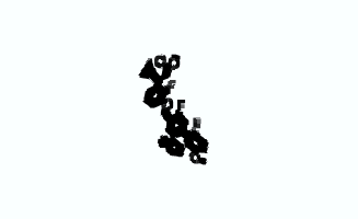 COC(=O)C[C@@H](c1cccc(OCc2cc([C@@H]3CCCC3(C)C)c(-c3cc(OC)ccc3F)cc2F)c1F)C1CC1